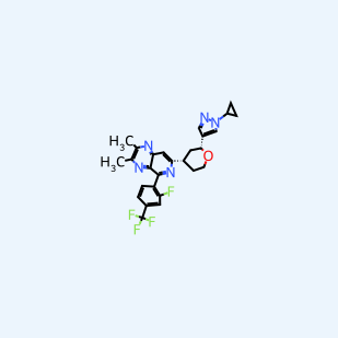 Cc1nc2cc([C@H]3CCO[C@@H](c4cnn(C5CC5)c4)C3)nc(-c3ccc(C(F)(F)F)cc3F)c2nc1C